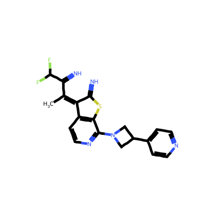 C/C(C(=N)C(F)F)=C1/C(=N)Sc2c1ccnc2N1CC(c2ccncc2)C1